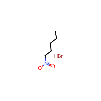 Br.CCCCC[N+](=O)[O-]